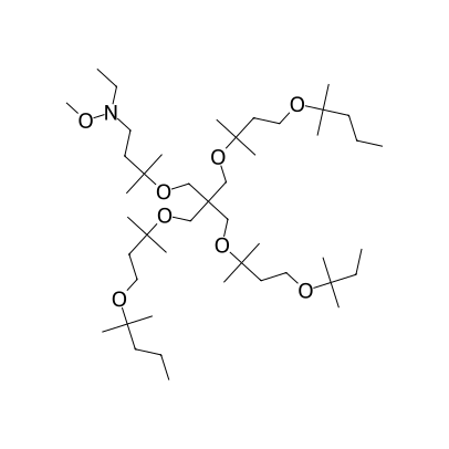 CCCC(C)(C)OCCC(C)(C)OCC(COC(C)(C)CCOC(C)(C)CC)(COC(C)(C)CCOC(C)(C)CCC)COC(C)(C)CCN(CC)OC